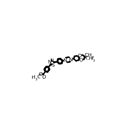 COC(=O)c1ccc(-c2nnc(-c3ccc(N4CCN(C5CCC6(CC5)OCC(C)(C)CO6)CC4)cc3)s2)cc1